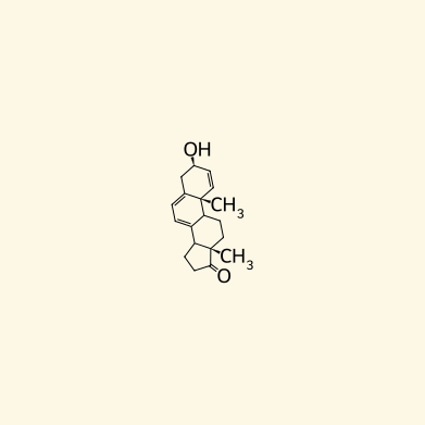 C[C@]12C=C[C@H](O)CC1=CC=C1C2CC[C@]2(C)C(=O)CCC12